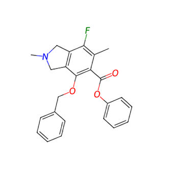 Cc1c(F)c2c(c(OCc3ccccc3)c1C(=O)Oc1ccccc1)CN(C)C2